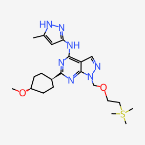 CO[C@H]1CC[C@@H](c2nc(Nc3cc(C)[nH]n3)c3cnn(COCCS(C)(C)C)c3n2)CC1